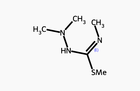 C/N=C(\NN(C)C)SC